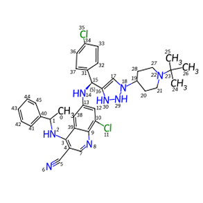 CC(Nc1c(C#N)cnc2c(Cl)cc(N[C@H](C3=CN(C4CCN(C(C)(C)C)CC4)NN3)c3ccc(Cl)cc3)cc12)c1ccccc1